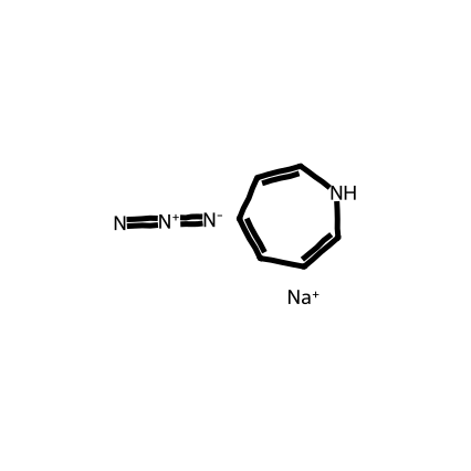 C1=CC=CNC=C1.[N-]=[N+]=[N-].[Na+]